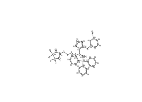 CC1(C)OB(CCCCC(NC(c2ccccc2)(c2ccccc2)c2ccccc2)c2nnnn2Cc2cccc(F)c2)OC1(C)C